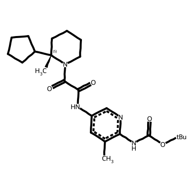 Cc1cc(NC(=O)C(=O)N2CCCC[C@@]2(C)C2CCCC2)cnc1NC(=O)OC(C)(C)C